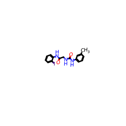 Cc1cccc(NC(=O)NCC(=O)Nc2ccccc2I)c1